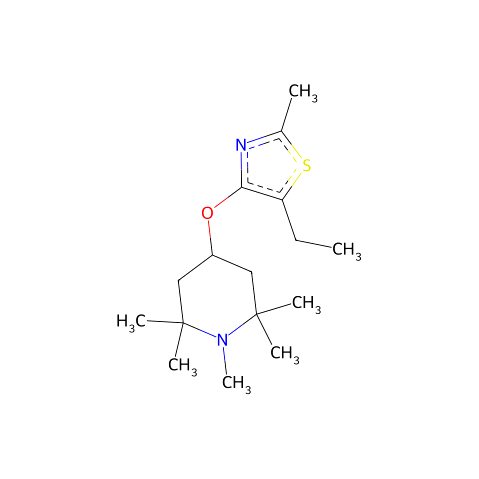 CCc1sc(C)nc1OC1CC(C)(C)N(C)C(C)(C)C1